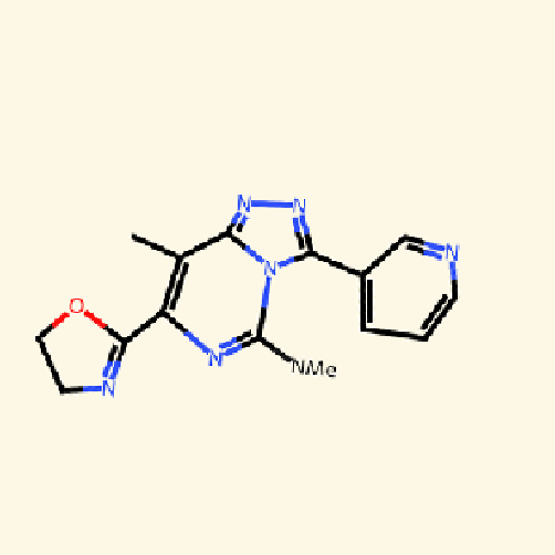 CNc1nc(C2=NCCO2)c(C)c2nnc(-c3cccnc3)n12